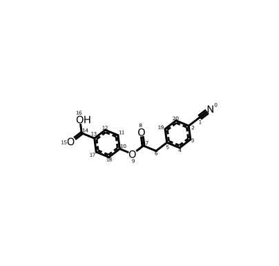 N#Cc1ccc(CC(=O)Oc2ccc(C(=O)O)cc2)cc1